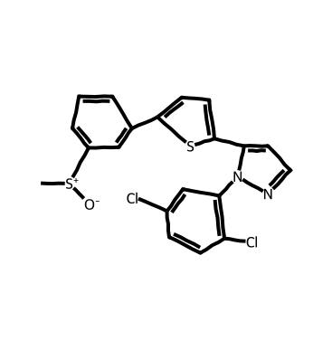 C[S+]([O-])c1cccc(-c2ccc(-c3ccnn3-c3cc(Cl)ccc3Cl)s2)c1